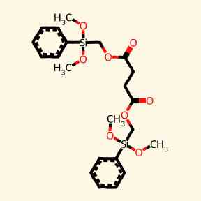 CO[Si](COC(=O)CCC(=O)OC[Si](OC)(OC)c1ccccc1)(OC)c1ccccc1